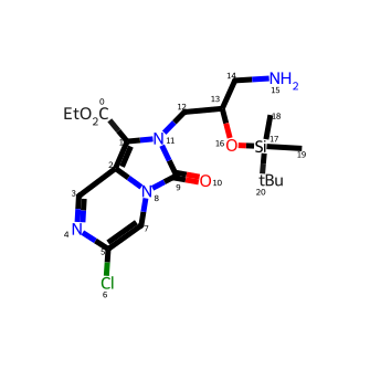 CCOC(=O)c1c2cnc(Cl)cn2c(=O)n1CC(CN)O[Si](C)(C)C(C)(C)C